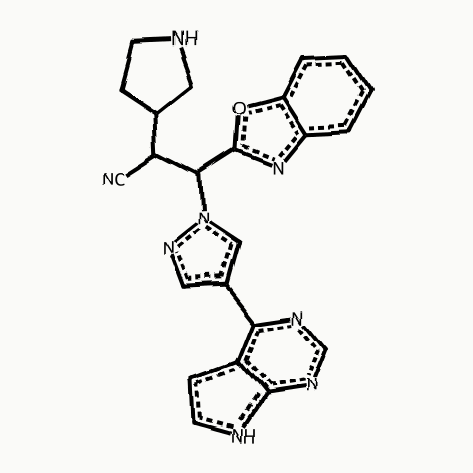 N#CC(C1CCNC1)C(c1nc2ccccc2o1)n1cc(-c2ncnc3[nH]ccc23)cn1